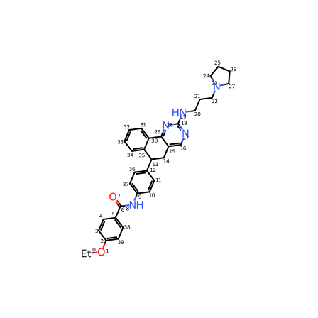 CCOc1ccc(C(=O)Nc2ccc(C3Cc4cnc(NCCCN5CCCC5)nc4-c4ccccc43)cc2)cc1